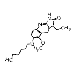 CCC1C(=O)NC2=Nc3ccc(OCCCCCO)c(OC)c3CN21